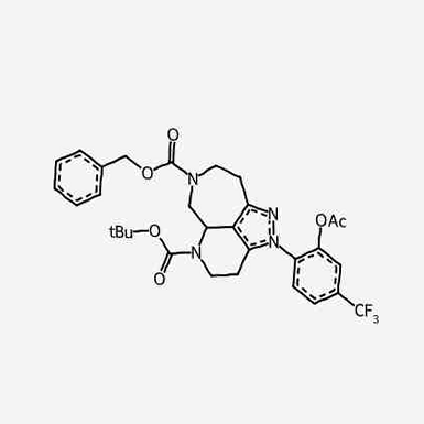 CC(=O)Oc1cc(C(F)(F)F)ccc1-n1nc2c3c1CCN(C(=O)OC(C)(C)C)C3CN(C(=O)OCc1ccccc1)CC2